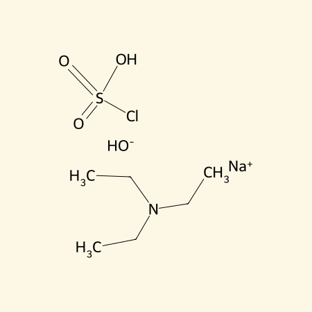 CCN(CC)CC.O=S(=O)(O)Cl.[Na+].[OH-]